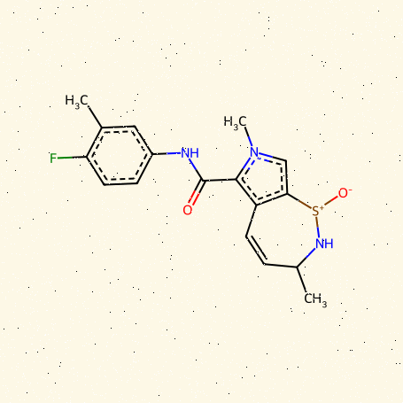 Cc1cc(NC(=O)c2c3c(cn2C)[S+]([O-])NC(C)C=C3)ccc1F